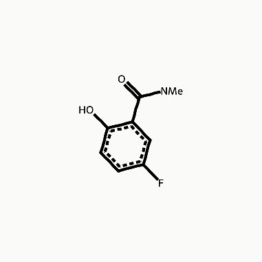 CNC(=O)c1cc(F)ccc1O